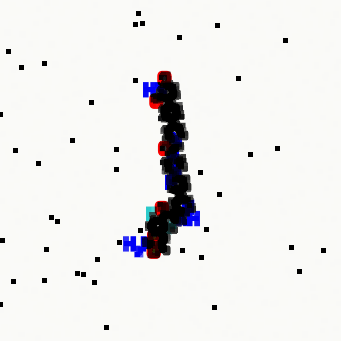 CC(Cc1ccc(F)c(C(=O)c2c[nH]c3ncc(-c4ccc(N5CCN(C(=O)CN6CCC(c7ccc(C8CCC(=O)NC8=O)cc7)CC6)CC5)nc4)cc23)c1F)S(N)(=O)=O